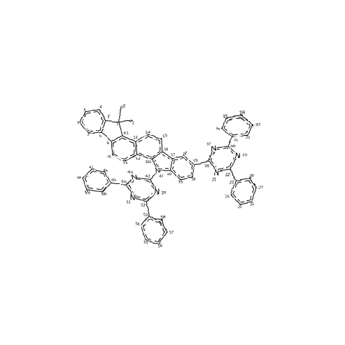 CC1(C)c2ccccc2-c2ccc3c(ccc4c5cc(-c6nc(-c7ccccc7)nc(-c7ccccc7)n6)ccc5n(-c5nc(-c6ccccc6)nc(-c6ccccc6)n5)c34)c21